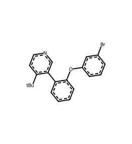 CC(C)(C)c1ccncc1-c1ccccc1Oc1cccc(Br)c1